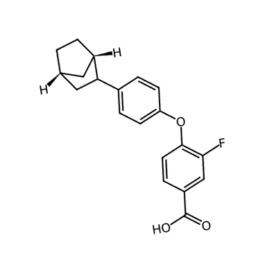 O=C(O)c1ccc(Oc2ccc(C3C[C@@H]4CC[C@H]3C4)cc2)c(F)c1